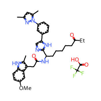 CCC(=O)CCCCCC(NC(=O)Cc1c(C)[nH]c2ccc(OC)cc12)c1ncc(-c2cccc(-n3nc(C)cc3C)c2)[nH]1.O=C(O)C(F)(F)F